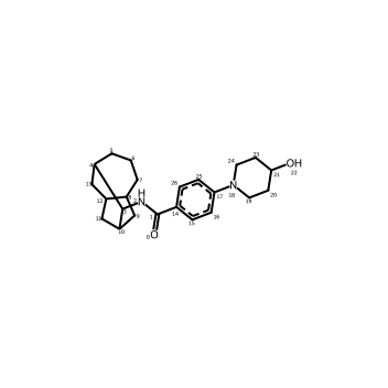 O=C(NC1C2CCCC3CC1CC3C2)c1ccc(N2CCC(O)CC2)cc1